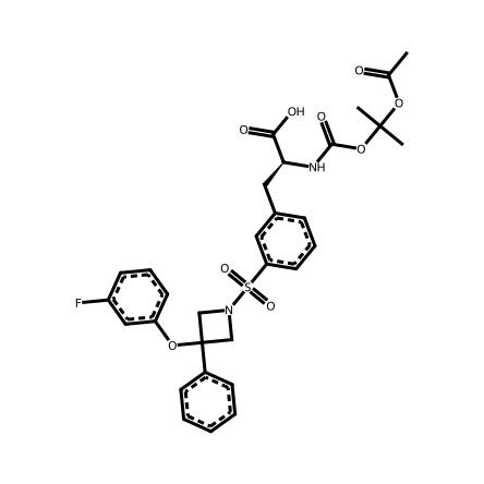 CC(=O)OC(C)(C)OC(=O)N[C@@H](Cc1cccc(S(=O)(=O)N2CC(Oc3cccc(F)c3)(c3ccccc3)C2)c1)C(=O)O